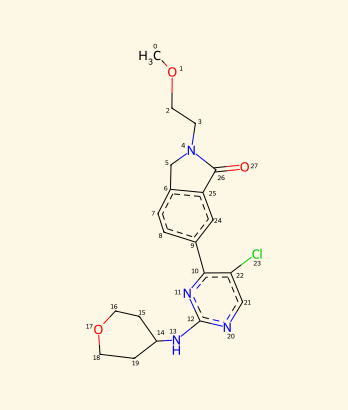 COCCN1Cc2ccc(-c3nc(NC4CCOCC4)ncc3Cl)cc2C1=O